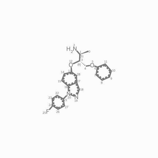 C[C@H](N)[C@H](COc1ccccc1)Oc1ccc2c(cnn2-c2ccc(F)cc2)c1